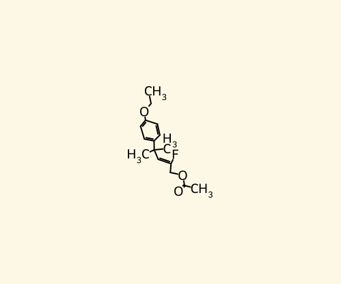 CCOc1ccc(C(C)(C)/C=C(\F)COC(C)=O)cc1